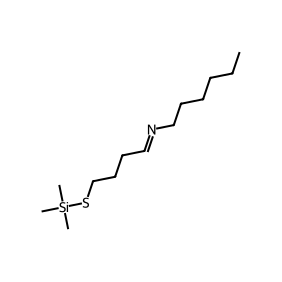 CCCCCCN=CCCCS[Si](C)(C)C